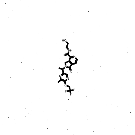 Cc1nc(C(C)N2Cc3c(ccnc3C(=O)NCCO)C2=O)cnc1OCC(F)(F)F